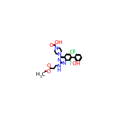 CCOC(=O)CCNc1nc(N2CCN(C(=O)O)CC2)c2cc(Cl)c(-c3c(O)cccc3F)c(F)c2n1